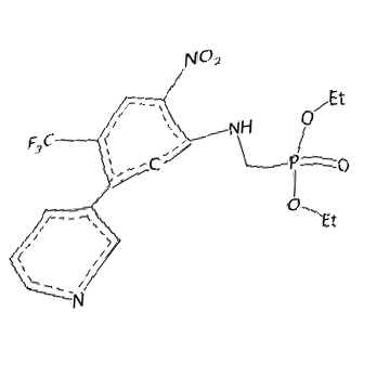 CCOP(=O)(CNc1cc(-c2cccnc2)c(C(F)(F)F)cc1[N+](=O)[O-])OCC